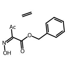 C=C.CC(=O)/C(=N/O)C(=O)OCc1ccccc1